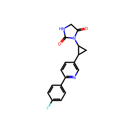 O=C1CNC(=O)N1C1CC1c1ccc(-c2ccc(F)cc2)nc1